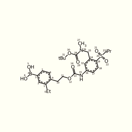 CCc1cc(B(O)O)ccc1CCOC(=O)Nc1ccc(S(=O)(=O)C(C)C)c(CN(C)C(=O)OC(C)(C)C)c1